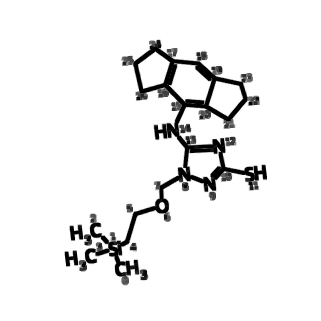 C[Si](C)(C)CCOCn1nc(S)nc1Nc1c2c(cc3c1CCC3)CCC2